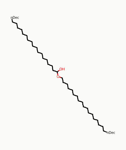 CCCCCCCCCCCCCCCCCCCCCCCCCCCCOC(O)CCCCCCCCCCCCCCCCCCCCCCCCCCC